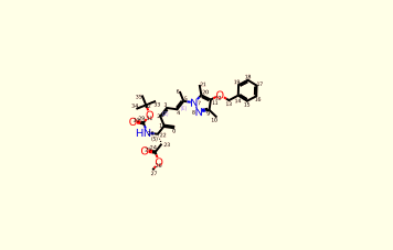 C=C(/C=C\C=C(/C)n1nc(C)c(OCc2ccccc2)c1C)[C@H](CC(=O)OC)NC(=O)OC(C)(C)C